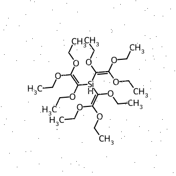 CCOC(OCC)=C(OCC)[SiH](C(OCC)=C(OCC)OCC)C(OCC)=C(OCC)OCC